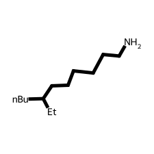 CCCCC(CC)CCCCCCN